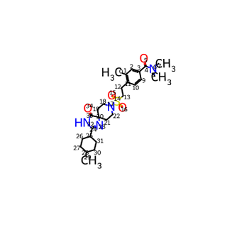 Cc1cc(C(=O)N(C)C)ccc1CCS(=O)(=O)N1CCC2(CC1)N=C(C1CCC(C)CC1)NC2=O